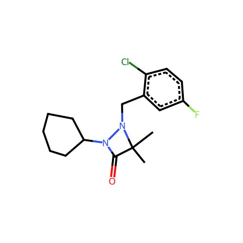 CC1(C)C(=O)N(C2CCCCC2)N1Cc1cc(F)ccc1Cl